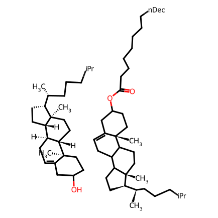 CC(C)CCC[C@@H](C)[C@H]1CC[C@H]2[C@@H]3CC=C4CC(O)CC[C@]4(C)[C@H]3CC[C@]12C.CCCCCCCCCCCCCCCCCC(=O)OC1CC[C@@]2(C)C(=CCC3C2CC[C@@]2(C)C3CC[C@@H]2[C@H](C)CCCC(C)C)C1